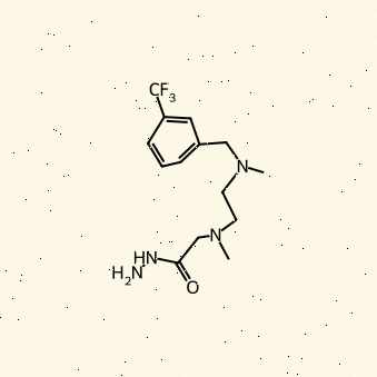 CN(CCN(C)Cc1cccc(C(F)(F)F)c1)CC(=O)NN